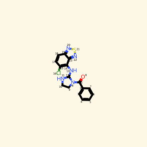 O=C(c1ccccc1)N1CCNC1Nc1c(Cl)ccc2nsnc12